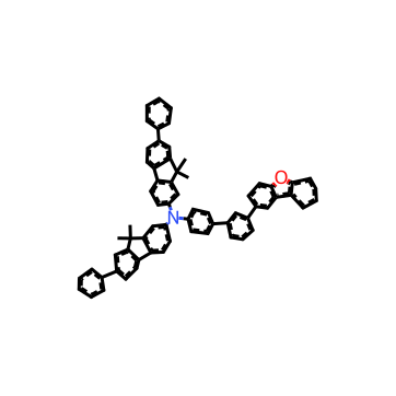 CC1(C)c2cc(-c3ccccc3)ccc2-c2ccc(N(c3ccc(-c4cccc(-c5ccc6oc7ccccc7c6c5)c4)cc3)c3ccc4c(c3)C(C)(C)c3cc(-c5ccccc5)ccc3-4)cc21